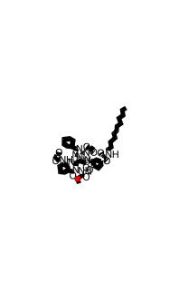 CCCCCCCCCCCCNS(=O)(=O)c1ccc(OC)c(NC(=O)C(c2nc3c(NS(C)(=O)=O)cccc3c(=O)n2NC(=O)C(C)C)n2nc(-c3ccccc3)nc2NS(C)(=O)=O)c1